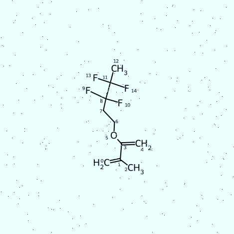 C=C(C)C(=C)OCCC(F)(F)C(C)(F)F